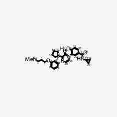 CNCCCOc1ccccc1[C@@H]1CCCN1c1nccn(-c2cc(C(=O)NC3CC3)ccc2C)c1=O